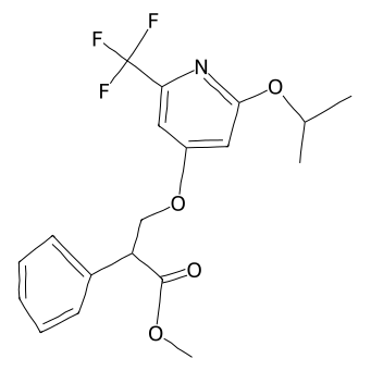 COC(=O)C(COc1cc(OC(C)C)nc(C(F)(F)F)c1)c1ccccc1